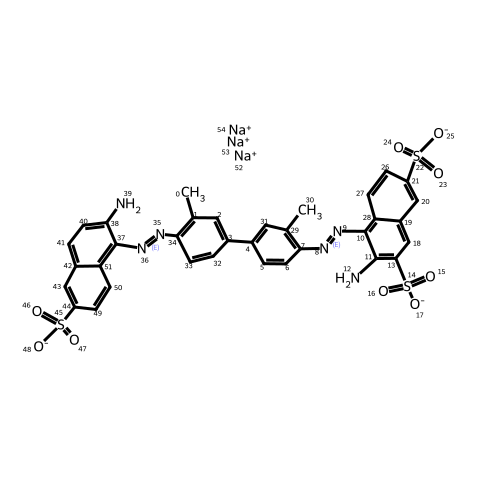 Cc1cc(-c2ccc(/N=N/c3c(N)c(S(=O)(=O)[O-])cc4cc(S(=O)(=O)[O-])ccc34)c(C)c2)ccc1/N=N/c1c(N)ccc2cc(S(=O)(=O)[O-])ccc12.[Na+].[Na+].[Na+]